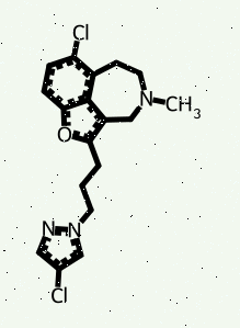 CN1CCc2c(Cl)ccc3oc(CCCn4cc(Cl)cn4)c(c23)C1